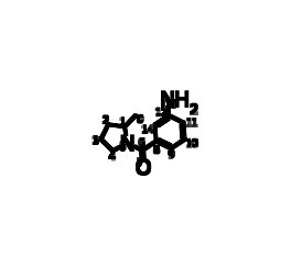 CC1CCCN1C(=O)c1cccc(N)c1